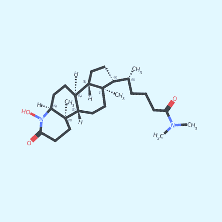 C[C@H](CCCC(=O)N(C)C)[C@H]1CC[C@H]2[C@@H]3CC[C@@H]4N(O)C(=O)CC[C@]4(C)[C@H]3CC[C@]12C